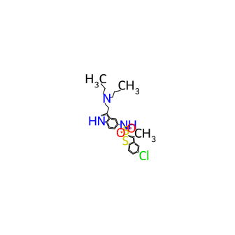 CCCCN(CCCC)CCc1c[nH]c2ccc(NS(=O)(=O)c3sc4ccc(Cl)cc4c3C)cc12